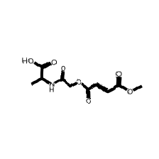 COC(=O)C=CC(=O)OCC(=O)NC(C)C(=O)O